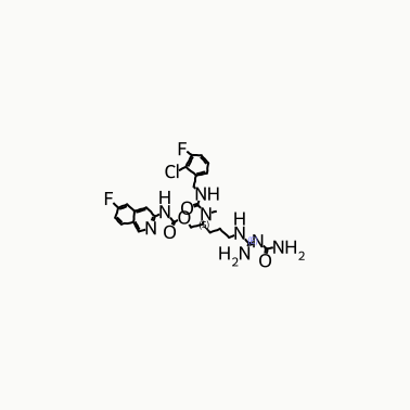 CN(C(=O)NCc1cccc(F)c1Cl)[C@@H](CCCN/C(N)=N/C(N)=O)COC(=O)Nc1cc2cc(F)ccc2cn1